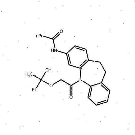 CCCC(=O)Nc1ccc2c(c1)N(C(=O)COC(C)(C)CC)c1ccccc1CC2